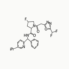 CC(C)c1ccc(C(NC(=O)C2CC(F)CN2C(=O)Cc2nnc(C(F)F)o2)c2ccccc2)nc1